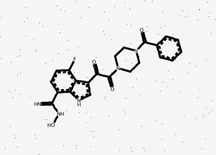 N=C(NO)c1ccc(F)c2c(C(=O)C(=O)N3CCN(C(=O)c4ccccc4)CC3)c[nH]c12